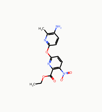 CCOC(=O)c1nc(Oc2ccc(N)c(C)n2)ccc1[N+](=O)[O-]